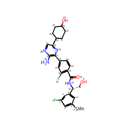 CSc1cc(F)cc([C@@H](CO)NC(=O)c2ccc(-c3nc(C4CCC(O)CC4)cnc3N)cc2F)c1